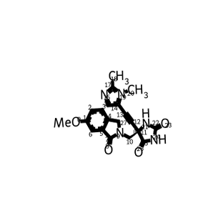 COc1ccc2c(c1)C(=O)N(C[C@@]1(C#Cc3cnc(C)n3C)NC(=O)NC1=O)C2